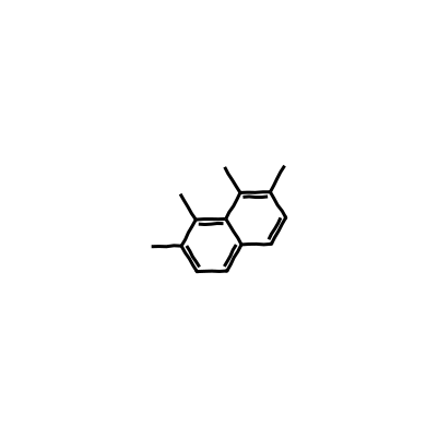 Cc1ccc2ccc(C)c(C)c2c1C